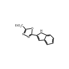 CCOC(=O)c1nnc(-c2cc3ccccc3[nH]2)o1